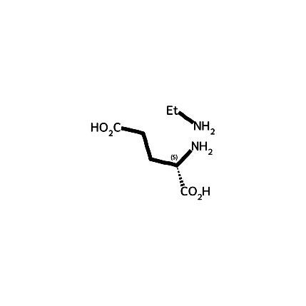 CCN.N[C@@H](CCC(=O)O)C(=O)O